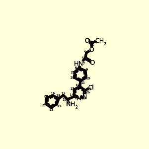 CC(=O)OCC(=O)Nc1ccc(-c2cc(C(N)Cc3ccccc3)nnc2Cl)cc1